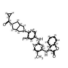 Cc1cnc(Nc2cnc(N3CC4CN(C(=O)C5CC5)CC4C3)c(F)c2)nc1Nn1c(=O)oc2ccccc21